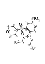 O=[N+]([O-])c1ccc(N(CCBr)CCBr)c(S(=O)(=O)N2CCOCC2)c1